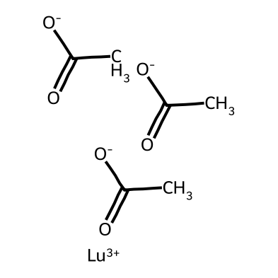 CC(=O)[O-].CC(=O)[O-].CC(=O)[O-].[Lu+3]